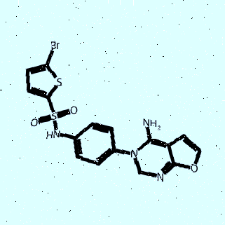 NC1=c2ccoc2=NCN1c1ccc(NS(=O)(=O)c2ccc(Br)s2)cc1